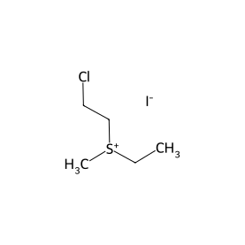 CC[S+](C)CCCl.[I-]